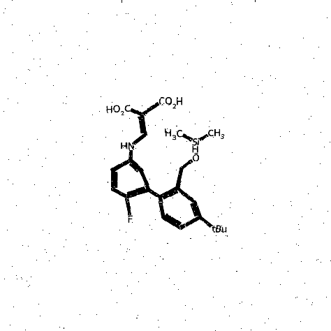 C[SiH](C)OCc1cc(C(C)(C)C)ccc1-c1cc(NC=C(C(=O)O)C(=O)O)ccc1F